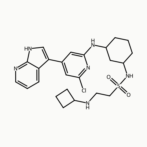 O=S(=O)(CCNC1CCC1)NC1CCCC(Nc2cc(-c3c[nH]c4ncccc34)cc(Cl)n2)C1